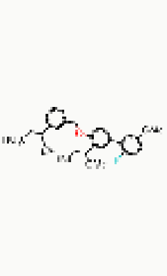 COc1ccc(F)c(-c2ccc(OCc3cccc(C(CC(=O)O)C4CC4)c3)c(C(CC(C)(C)C)OC)c2)c1